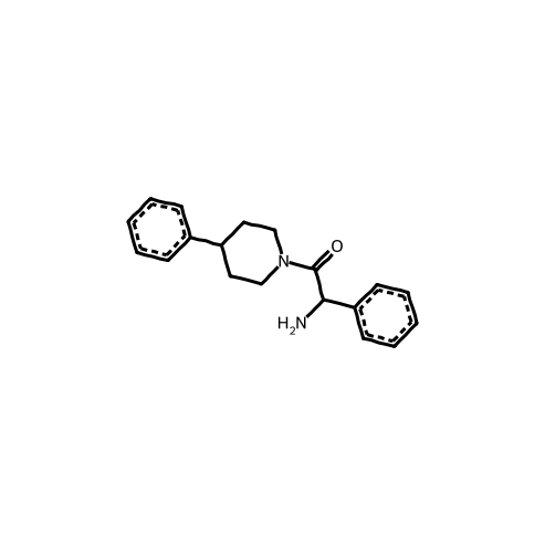 NC(C(=O)N1CCC(c2ccccc2)CC1)c1ccccc1